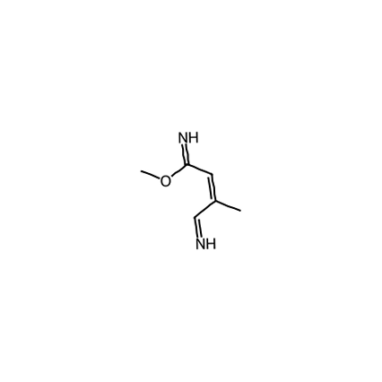 COC(=N)/C=C(/C)C=N